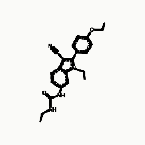 CCNC(=O)Nc1ccc2c(C#N)c(-c3ccc(OCC)cc3)n(CC)c2c1